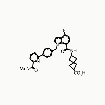 CNC(=O)c1cccc(-c2ccc(Cn3ccc4c(F)ccc(C(=O)NC5CC6(C5)CC(C(=O)O)C6)c43)cc2)n1